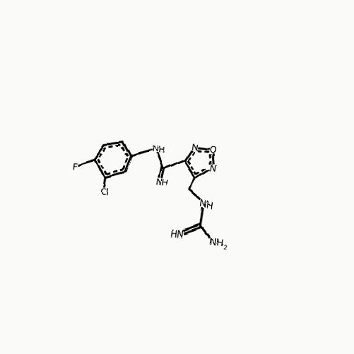 N=C(N)NCc1nonc1C(=N)Nc1ccc(F)c(Cl)c1